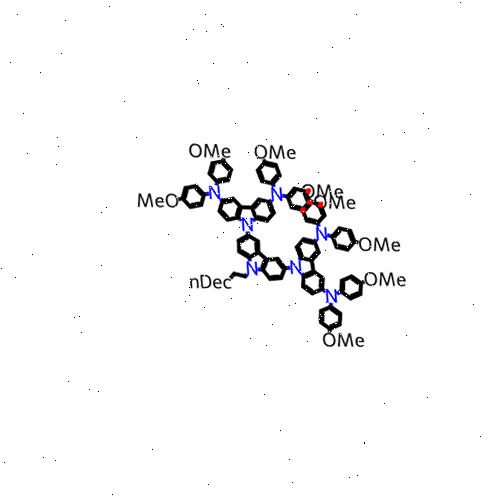 CCCCCCCCCCCCn1c2ccc(-n3c4ccc(N(c5ccc(OC)cc5)c5ccc(OC)cc5)cc4c4cc(N(c5ccc(OC)cc5)c5ccc(OC)cc5)ccc43)cc2c2cc(-n3c4ccc(N(c5ccc(OC)cc5)c5ccc(OC)cc5)cc4c4cc(N(c5ccc(OC)cc5)c5ccc(OC)cc5)ccc43)ccc21